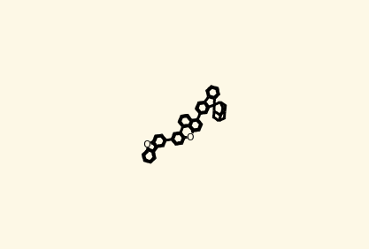 c1ccc2c(c1)-c1ccc(-c3ccc4c5c(cccc35)-c3cc(-c5ccc6oc7ccccc7c6c5)ccc3O4)cc1C21C2CC3CC(C2)CC1C3